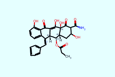 CCC(=O)O[C@@H]1[C@H]2CC(O)C(C(N)=O)C(=O)[C@@]2(O)C(O)=C2C(=O)c3c(O)cccc3/C(=C\c3ccccc3)[C@H]21